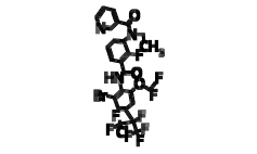 CCN(C(=O)c1cccnc1)c1cccc(C(=O)Nc2c(Br)cc(C(F)(C(F)(F)F)C(F)(F)Cl)cc2OC(F)F)c1F